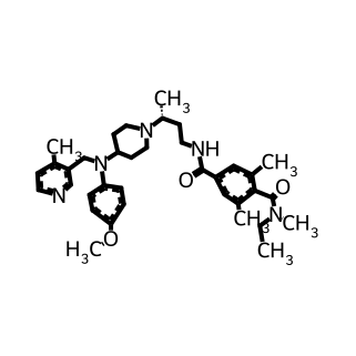 CCN(C)C(=O)c1c(C)cc(C(=O)NCC[C@@H](C)N2CCC(N(Cc3cnccc3C)c3ccc(OC)cc3)CC2)cc1C